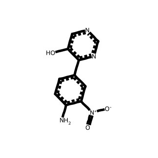 Nc1ccc(-c2ncncc2O)cc1[N+](=O)[O-]